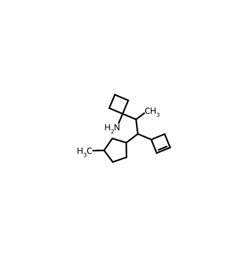 CC1CCC(C(C2C=CC2)C(C)C2(N)CCC2)C1